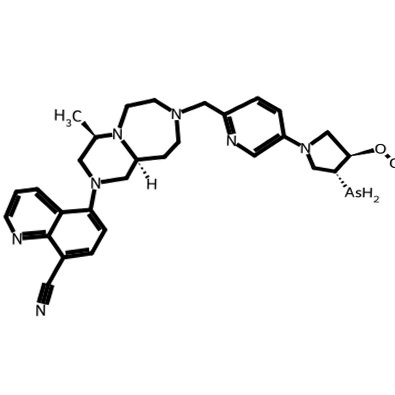 CO[C@@H]1CN(c2ccc(CN3CC[C@H]4CN(c5ccc(C#N)c6ncccc56)C[C@@H](C)N4CC3)nc2)C[C@H]1[AsH2]